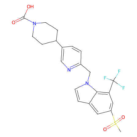 CS(=O)(=O)c1cc(C(F)(F)F)c2c(ccn2Cc2ccc(C3CCN(C(=O)O)CC3)cn2)c1